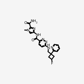 Cn1cc(NC(=O)c2ccc(NCC3(c4ccccn4)CC(F)C3)nn2)nc1C(N)=O